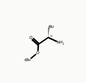 CCC(C)[C@H](N)C(=O)OC(C)(C)C